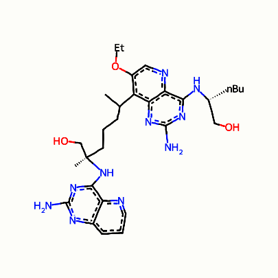 CCCC[C@H](CO)Nc1nc(N)nc2c(C(C)CCC[C@](C)(CO)Nc3nc(N)nc4cccnc34)c(OCC)cnc12